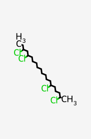 CCC(Cl)CC(Cl)CCCCCCCCCC(Cl)CCCC(C)Cl